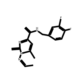 C=C(NCc1ccc(F)c(F)c1)C1=NC(=C)N(/N=C\C)C(C)=C1